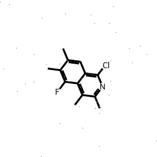 Cc1cc2c(Cl)nc(C)c(C)c2c(F)c1C